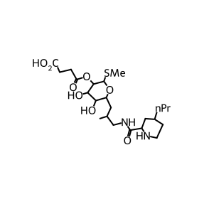 CCCC1CCNC(C(=O)NCC(C)CC2OC(SC)C(OC(=O)CCC(=O)O)C(O)C2O)C1